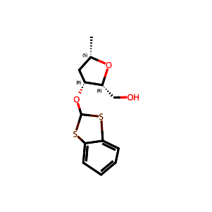 C[C@H]1C[C@@H](OC2Sc3ccccc3S2)[C@@H](CO)O1